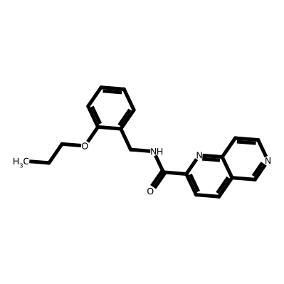 CCCOc1ccccc1CNC(=O)c1ccc2cnccc2n1